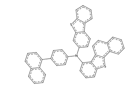 c1ccc2c(-c3ccc(N(c4ccc5c(c4)sc4ccccc45)c4cccc5sc6c7ccccc7ccc6c45)cc3)cccc2c1